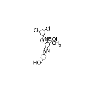 CC(C)(O)c1cc2nn(C3CCC(CO)CC3)cc2cc1NC(=O)c1cc(Cl)cc(Cl)c1